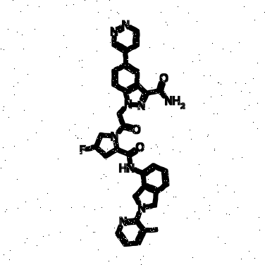 Cc1cccnc1N1Cc2cccc(NC(=O)C3CC(F)CN3C(=O)Cn3nc(C(N)=O)c4cc(-c5ccnnc5)ccc43)c2C1